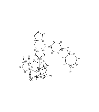 CC(C)C1=CC2CC3(C=O)[C@@H]4CC[C@@H](C)[C@H]4CC2([C@H]2C[C@H](CC4CCCC4)[C@H](CN4CCC(CN5CCCN(C)CC5)CC4)O2)[C@]13C(=O)O